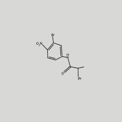 CC(C)C(C)C(=O)Nc1ccc([N+](=O)[O-])c(Br)c1